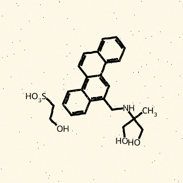 CC(CO)(CO)NCc1cc2c3ccccc3ccc2c2ccccc12.O=S(=O)(O)CCO